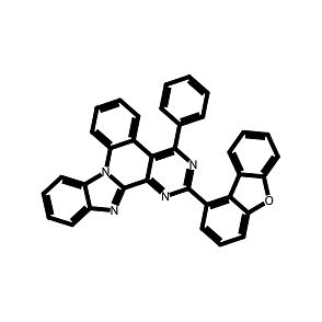 c1ccc(-c2nc(-c3cccc4oc5ccccc5c34)nc3c2c2ccccc2n2c4ccccc4nc32)cc1